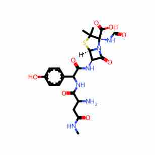 CNC(=O)CC(N)C(=O)NC(C(=O)N[C@@H]1C(=O)N2[C@@H]1SC(C)(C)[C@]2(NC=O)C(=O)O)c1ccc(O)cc1